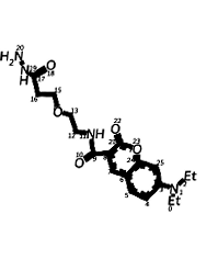 CCN(CC)c1ccc2cc(C(=O)NCCOCCC(=O)NN)c(=O)oc2c1